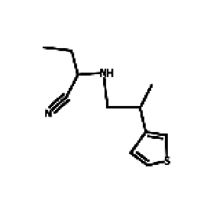 CCC(C#N)NCC(C)c1ccsc1